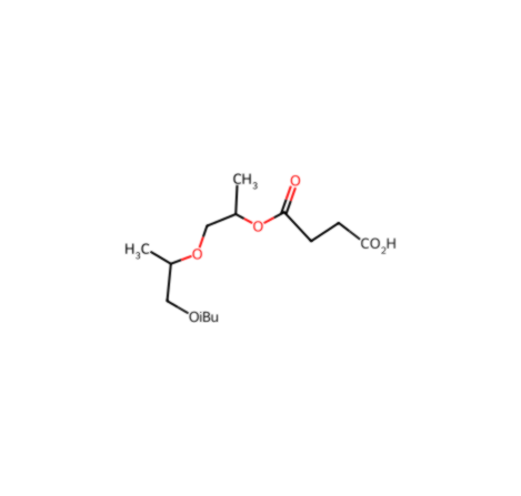 CC(C)COCC(C)OCC(C)OC(=O)CCC(=O)O